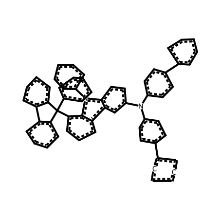 c1ccc(-c2ccc(N(c3ccc(-c4ccccc4)cc3)c3ccc4c(c3)c3cccc(C5(c6ccccc6)c6ccccc6-c6ccccc65)c3n4-c3ccccc3)cc2)cc1